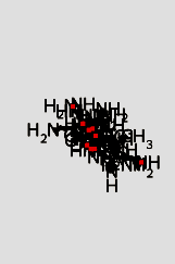 CC(C)C[C@H](NC(=O)[C@H](Cc1c[nH]cn1)NC(=O)[C@@H](N)Cc1c[nH]cn1)C(=O)N[C@@H](CC(C)C)C(=O)N[C@@H](CCCNC(=N)N)C(=O)N1CCC[C@H]1C(=O)N[C@@H](CCCNC(=N)N)C(=O)N[C@@H](CCCNC(=N)N)C(=O)N[C@@H](CCCCN)C(=O)N[C@@H](CCCNC(=N)N)C(=O)O